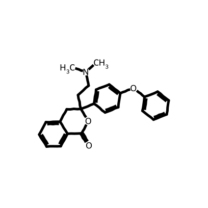 CN(C)CCC1(c2ccc(Oc3ccccc3)cc2)Cc2ccccc2C(=O)O1